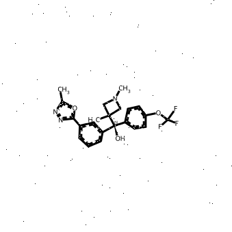 Cc1nnc(-c2cccc([C@@](O)(c3ccc(OC(F)(F)F)cc3)C3(C)CN(C)C3)c2)o1